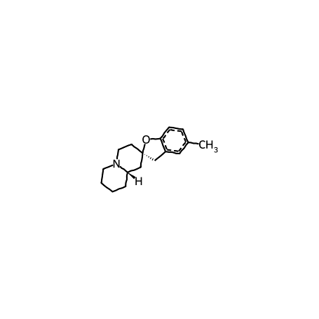 Cc1ccc2c(c1)C[C@]1(CCN3CCCC[C@H]3C1)O2